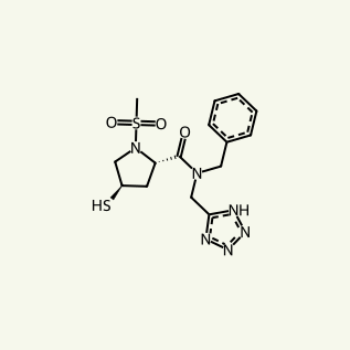 CS(=O)(=O)N1C[C@H](S)C[C@H]1C(=O)N(Cc1ccccc1)Cc1nnn[nH]1